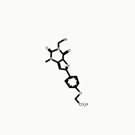 CC(C)CN1C(=O)C2N=C(c3ccc(OCC(=O)O)cc3)C=C2N(C)C1=O